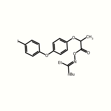 CCCCC(CC)=NOC(=O)C(C)Oc1ccc(Oc2ccc(I)cc2)cc1